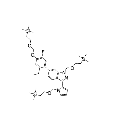 CCc1cc(OCOCC[Si](C)(C)C)c(F)cc1-c1ccc2c(-c3cccn3COCC[Si](C)(C)C)nn(COCC[Si](C)(C)C)c2c1